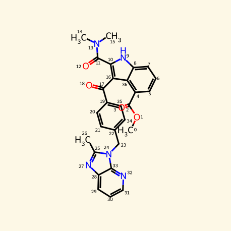 COC(=O)c1cccc2[nH]c(C(=O)N(C)C)c(C(=O)c3ccc(Cn4c(C)nc5cccnc54)cc3)c12